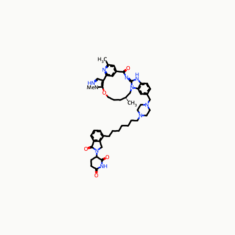 CN/C1=C(\C=N)c2cc(cc(C)n2)C(=O)/N=C2\Nc3ccc(CN4CCN(CCCCCCCc5cccc6c5CN(C5CCC(=O)NC5=O)C6=O)CC4)cc3N2C[C@H](C)CCCO1